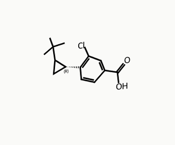 CC(C)(C)C1C[C@H]1c1ccc(C(=O)O)cc1Cl